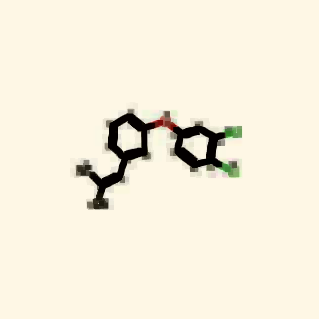 N#CC(C#N)=Cc1cccc(Oc2ccc(Cl)c(Cl)c2)c1